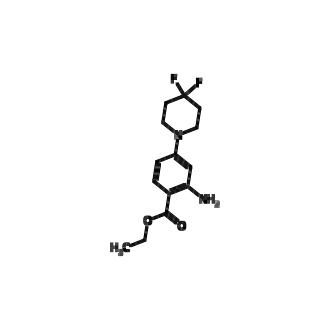 CCOC(=O)c1ccc(N2CCC(F)(F)CC2)cc1N